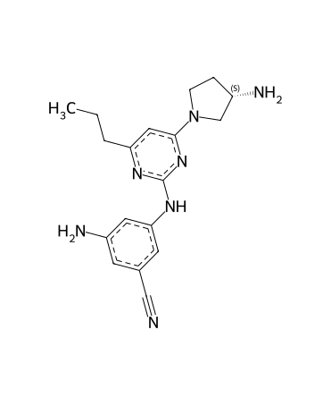 CCCc1cc(N2CC[C@H](N)C2)nc(Nc2cc(N)cc(C#N)c2)n1